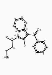 Cc1c(C(=O)c2ccccc2)c2ccccc2n1C(C)CCBr